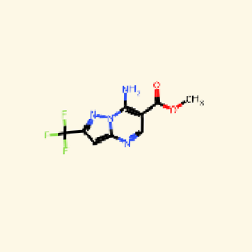 COC(=O)c1cnc2cc(C(F)(F)F)nn2c1N